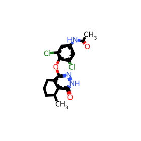 CC(=O)Nc1cc(Cl)c(Oc2n[nH]c(=O)c3c2CCCC3C)c(Cl)c1